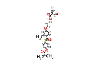 C=C(C)C(=O)Oc1ccc(SC(=O)c2ccc(OCCCCOC(=O)C(=C)CO)cc2C)cc1